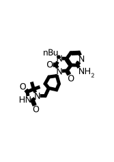 CCCCn1c(=O)n(C2CCC(CN3C(=O)NC(=O)C3(C)C)CC2)c(=O)c2c(N)nccc21